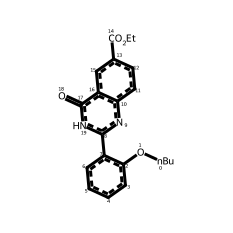 CCCCOc1ccccc1-c1nc2ccc(C(=O)OCC)cc2c(=O)[nH]1